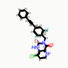 O=c1[nH]c2c(Cl)ccnc2c(=O)n1Cc1c(F)cc(C#Cc2ccccc2)cc1F